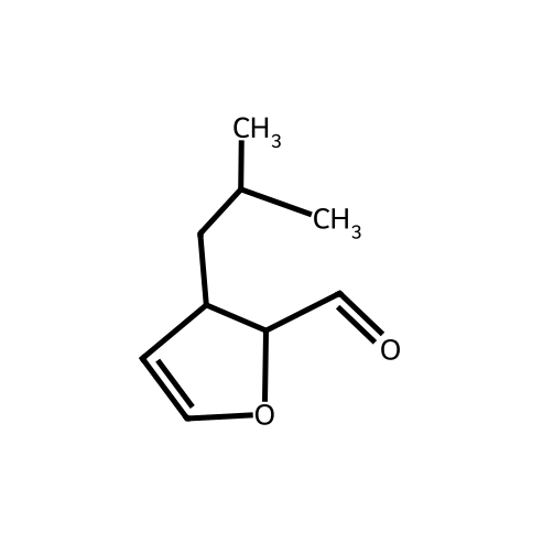 CC(C)CC1C=COC1C=O